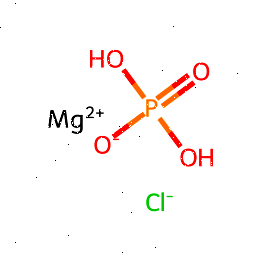 O=P([O-])(O)O.[Cl-].[Mg+2]